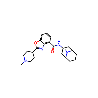 CN1CCC(c2nc3c(C(=O)NC4CC5CCCC(C4)N5C)cccc3o2)CC1